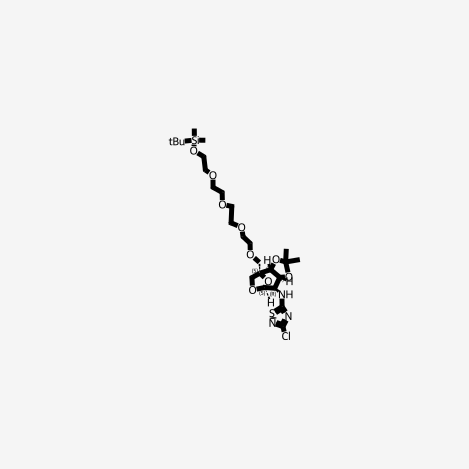 CC1(C)O[C@@H]2[C@@H](Nc3nc(Cl)ns3)[C@H]3OC[C@](COCCOCCOCCOCCO[Si](C)(C)C(C)(C)C)(O3)[C@@H]2O1